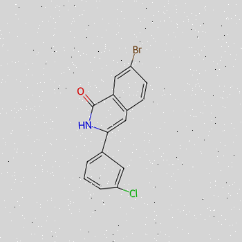 O=c1[nH]c(-c2cccc(Cl)c2)cc2ccc(Br)cc12